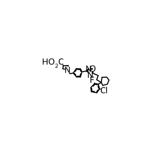 O=C(O)C1CN(Cc2ccc(-c3noc(CCC4(c5c(F)cccc5Cl)CCCCC4)n3)cc2)C1